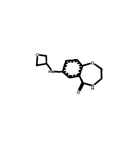 O=C1NCCOc2ccc(NC3COC3)cc21